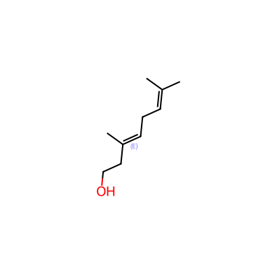 CC(C)=CC/C=C(\C)CCO